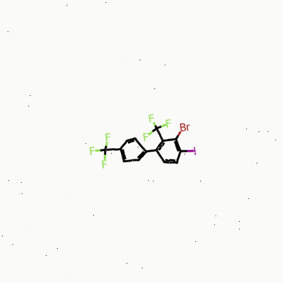 FC(F)(F)c1ccc(-c2ccc(I)c(Br)c2C(F)(F)F)cc1